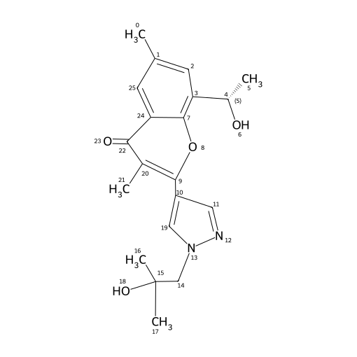 Cc1cc([C@H](C)O)c2oc(-c3cnn(CC(C)(C)O)c3)c(C)c(=O)c2c1